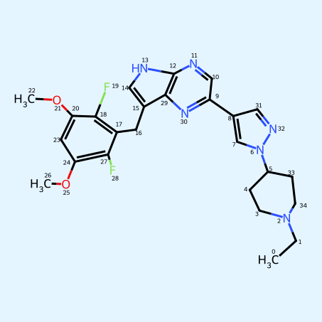 CCN1CCC(n2cc(-c3cnc4[nH]cc(Cc5c(F)c(OC)cc(OC)c5F)c4n3)cn2)CC1